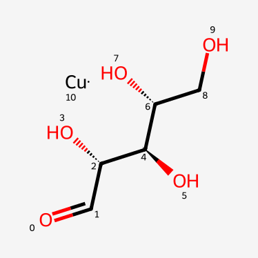 O=C[C@H](O)[C@H](O)[C@H](O)CO.[Cu]